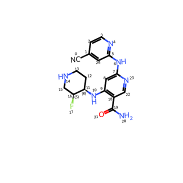 N#Cc1ccnc(Nc2cc(N[C@@H]3CCNC[C@@H]3F)c(C(N)=O)cn2)c1